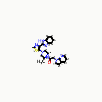 CC1CN(c2scnc2-c2nc3ccccc3[nH]2)CCN1C(=O)Cn1ccc2cccnc21